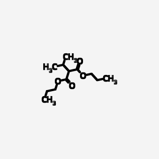 CCCOC(=O)C(C(=O)OCCC)C(C)C